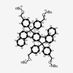 CCCCOCc1ccc(C2(c3ccc(COCCCC)cc3)c3cc4c(cc3-c3c2ccc2ccccc32)C(c2ccc(COCCCC)cc2)(c2ccc(COCCCC)cc2)c2ccc3ccccc3c2-4)cc1